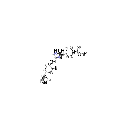 C/N=C\C(COc1ccc(-n2cnnn2)cc1F)=N/NC1CCN(C(=O)OC(C)C)CC1